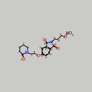 O=C1CCCCN1CCOc1ccc2c(c1)C(=O)N(CCCO[N+](=O)[O-])C2=O